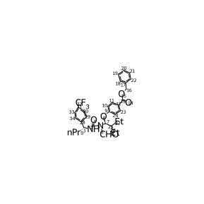 CCC[C@@H](NC(=O)N(C=O)[C@@H](Oc1ccc(C(=O)OCc2ccccc2)cc1)C(CC)CC)c1ccc(C(F)(F)F)cc1